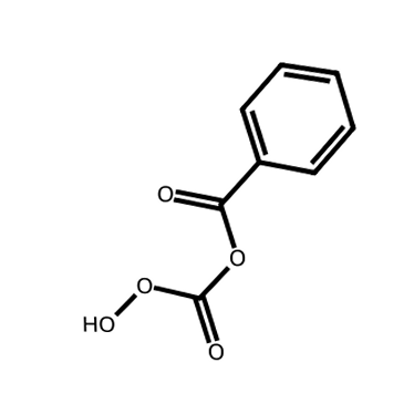 O=C(OO)OC(=O)c1ccccc1